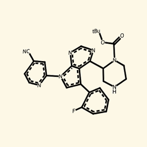 CC(C)(C)OC(=O)N1CCNCC1c1ncnc2c1c(-c1ccccc1F)cn2-c1cc(C#N)ccn1